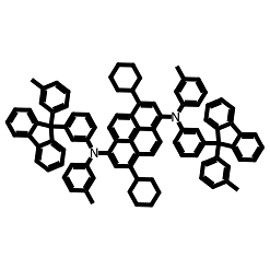 Cc1cccc(N(c2cccc(C3(c4cccc(C)c4)c4ccccc4-c4ccccc43)c2)c2cc(C3CCCCC3)c3ccc4c(N(c5cccc(C)c5)c5cccc(C6(c7cccc(C)c7)c7ccccc7-c7ccccc76)c5)cc(C5CCCCC5)c5ccc2c3c54)c1